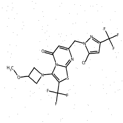 COC1CN(c2c(C(F)(F)F)sc3nc(Cn4nc(C(F)(F)F)cc4Cl)cc(=O)n23)C1